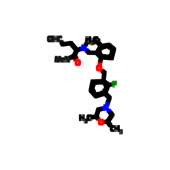 CNC(=O)C(CCC=O)N(C=O)Cc1c(C)cccc1OCc1cccc(CN2CC(C)OC(C)C2)c1F